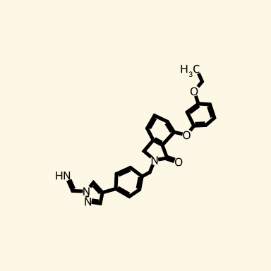 CCOc1cccc(Oc2cccc3c2C(=O)N(Cc2ccc(-c4cnn(C=N)c4)cc2)C3)c1